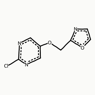 Clc1ncc(OCc2ncco2)cn1